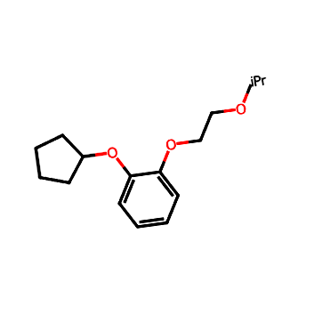 CC(C)OCCOc1ccccc1OC1CCCC1